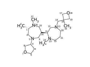 C[C@H]1CN(C2CCOC2)CC([C@H]2CN(CC3(C)COC3)CCCN2C)CN1C